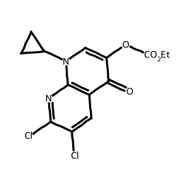 CCOC(=O)Oc1cn(C2CC2)c2nc(Cl)c(Cl)cc2c1=O